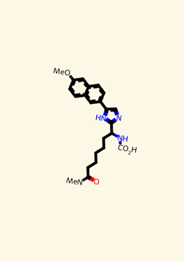 CNC(=O)CCCCCC(NC(=O)O)c1ncc(-c2ccc3cc(OC)ccc3c2)[nH]1